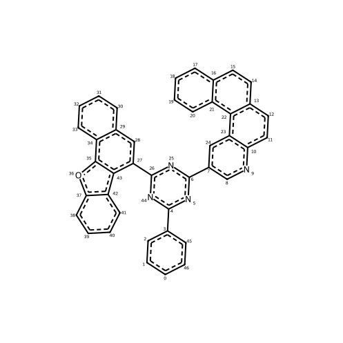 c1ccc(-c2nc(-c3cnc4ccc5ccc6ccccc6c5c4c3)nc(-c3cc4ccccc4c4oc5ccccc5c34)n2)cc1